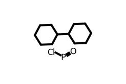 C1CCC(C2CCCCC2)CC1.O=PCl